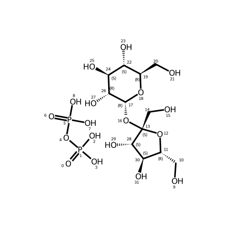 O=P(O)(O)OP(=O)(O)O.OC[C@H]1O[C@@](CO)(O[C@H]2O[C@H](CO)[C@@H](O)[C@H](O)[C@H]2O)[C@@H](O)[C@@H]1O